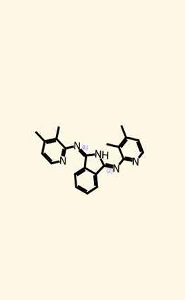 Cc1ccnc(/N=C2\N/C(=N/c3nccc(C)c3C)c3ccccc32)c1C